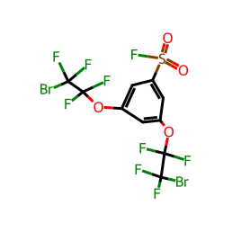 O=S(=O)(F)c1cc(OC(F)(F)C(F)(F)Br)cc(OC(F)(F)C(F)(F)Br)c1